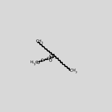 CCCCCCCCCCCCCCCC(CCCCCCCCCCCCCCC)CN(C)C(=O)OCCCOCCOC